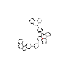 c1ccc(-c2ccccc2N(c2ccc(-c3cccc(-c4ccc5c(ccc6ccc7ccccc7c65)c4)c3)cc2)c2ccc(-c3cc4ccccc4c4ccccc34)cc2)cc1